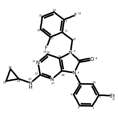 CCc1cccc(-n2c(=O)n(Cc3c(F)cccc3F)c3cnc(NC4CC4)nc32)c1